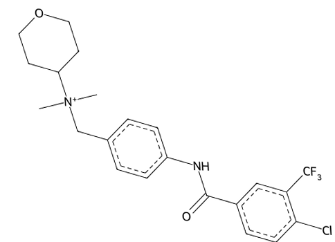 C[N+](C)(Cc1ccc(NC(=O)c2ccc(Cl)c(C(F)(F)F)c2)cc1)C1CCOCC1